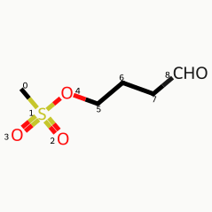 CS(=O)(=O)OCCCC=O